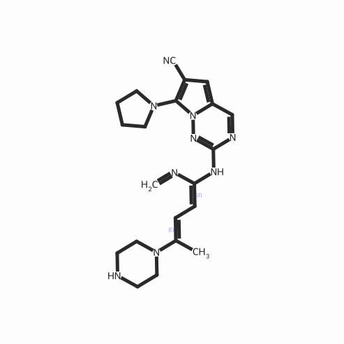 C=N/C(=C\C=C(/C)N1CCNCC1)Nc1ncc2cc(C#N)c(N3CCCC3)n2n1